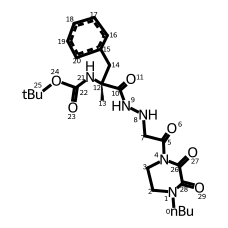 CCCCN1CCN(C(=O)CNNC(=O)[C@@](C)(Cc2ccccc2)NC(=O)OC(C)(C)C)C(=O)C1=O